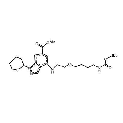 COC(=O)c1cc(NCCOCCCCNC(=O)OC(C)(C)C)c2cnn(C3CCCCO3)c2c1